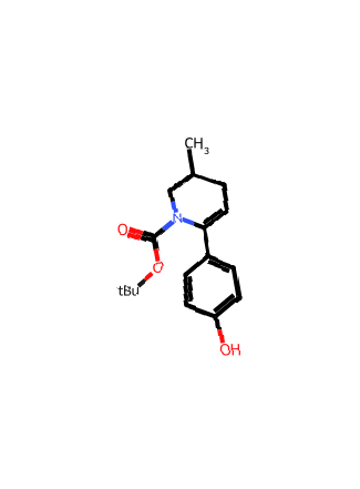 CC1CC=C(c2ccc(O)cc2)N(C(=O)OC(C)(C)C)C1